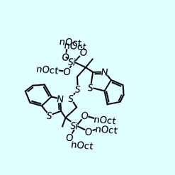 CCCCCCCCO[Si](OCCCCCCCC)(OCCCCCCCC)C(C)(CSSCC(C)(c1nc2ccccc2s1)[Si](OCCCCCCCC)(OCCCCCCCC)OCCCCCCCC)c1nc2ccccc2s1